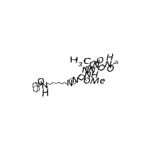 COc1cc(N2CCN(CCCCCCCCNC(=O)C34CC5CC(CC(C5)C3)C4)CC2)ccc1Nc1ncc2c(C)cc(=O)n(-c3cccc(NC(=O)C4CC4)c3)c2n1